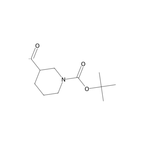 CC(C)(C)OC(=O)N1CCCC([C]=O)C1